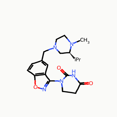 CC(C)[C@H]1CN(Cc2ccc3onc(N4CCC(=O)NC4=O)c3c2)CCN1C